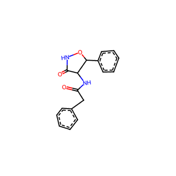 O=C(Cc1ccccc1)NC1C(=O)NOC1c1ccccc1